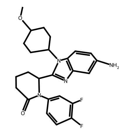 COC1CCC(n2c(C3CCCC(=O)N3c3ccc(F)c(F)c3)nc3cc(N)ccc32)CC1